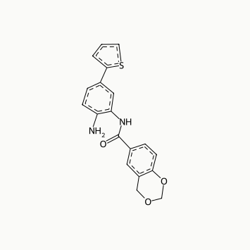 Nc1ccc(-c2cccs2)cc1NC(=O)c1ccc2c(c1)COCO2